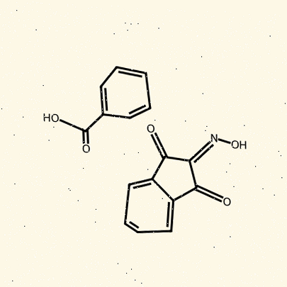 O=C(O)c1ccccc1.O=c1c(=NO)c(=O)c2ccccc12